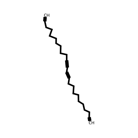 C#CCCCCCCCCC#CC#CCCCCCCCCC#C